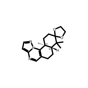 CC1(C)[C@@H]2CCc3cnc4ccnn4c3[C@@]2(C)CCC12OCCO2